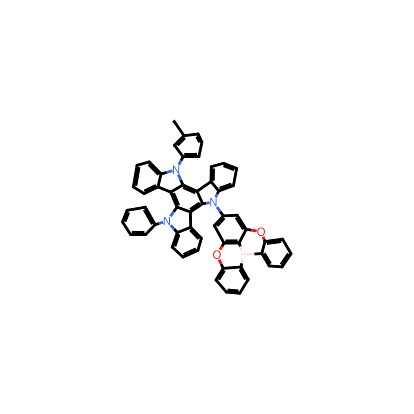 Cc1cccc(-n2c3ccccc3c3c4c(c5ccccc5n4-c4ccccc4)c4c(c5ccccc5n4-c4cc5c6c(c4)Oc4ccccc4B6c4ccccc4O5)c32)c1